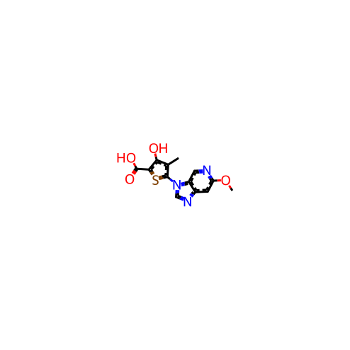 COc1cc2ncn(-c3sc(C(=O)O)c(O)c3C)c2cn1